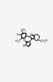 Cc1cc(-n2nc3c(c2-n2cc[nH]c2=O)CN(C(=O)O)CC3)cc(C)c1F